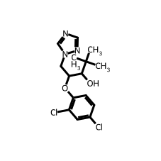 CC(C)(C)C(O)C(Cn1cncn1)Oc1ccc(Cl)cc1Cl